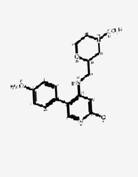 COc1ccc(-c2cnc(Cl)cc2NCC2CN(C(=O)O)CCO2)cc1